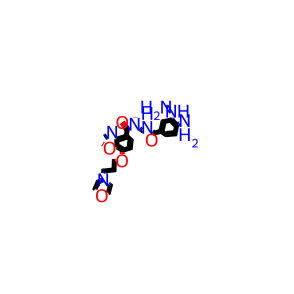 C=Nc1c(C(=O)N(C)CNC(=O)c2ccc(N)c(NN)c2)ccc(OCCCN2CCOCC2)c1OC